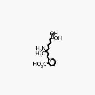 CC(N)(CCCCB(O)O)CCN1CCCCC1C(=O)O